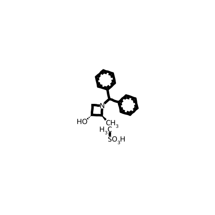 CS(=O)(=O)O.C[C@H]1[C@H](O)CN1C(c1ccccc1)c1ccccc1